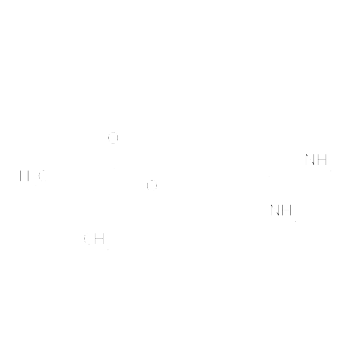 C=C(C)C(=O)OC1CC[CH]C(N)(N)C1